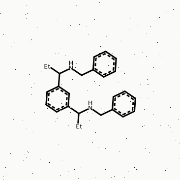 CCC(NCc1ccccc1)c1cccc(C(CC)NCc2ccccc2)c1